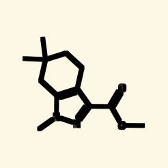 COC(=O)c1nn(C)c2c1CCC(C)(C)C2